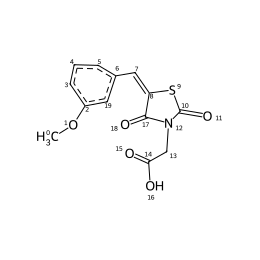 COc1cccc(C=C2SC(=O)N(CC(=O)O)C2=O)c1